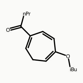 CCCC(=O)C1=CCC=C(OC(C)CC)C=C1